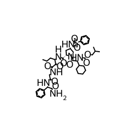 CCCC(NC(=O)[C@@H]1C[C@@H](NS(=O)(=O)c2ccccc2)CN1C(=O)[C@@H](NC(=O)OCC(C)C)C1CCCCC1)C(=O)C(=O)NCC(=O)N[C@H](C(N)=O)c1ccccc1